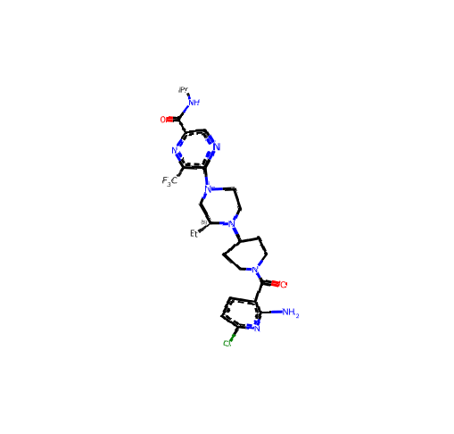 CC[C@H]1CN(c2ncc(C(=O)NC(C)C)nc2C(F)(F)F)CCN1C1CCN(C(=O)c2ccc(Cl)nc2N)CC1